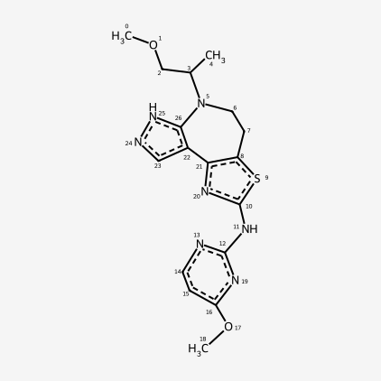 COCC(C)N1CCc2sc(Nc3nccc(OC)n3)nc2-c2cn[nH]c21